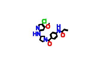 C=CC(=O)Nc1ccc(C(=O)N2CC[C@H](Nc3cc(OC)c(Cl)cn3)C2)cc1